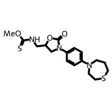 COC(=S)NCC1CN(c2ccc(N3CCCSCC3)cc2)C(=O)O1